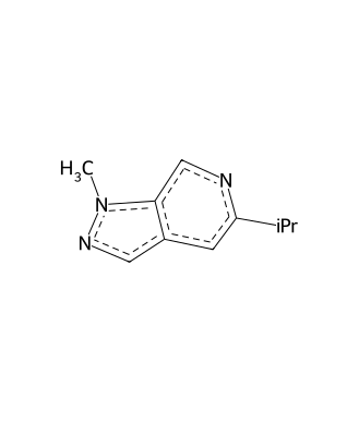 CC(C)c1cc2cnn(C)c2cn1